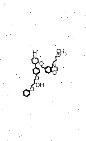 COCCCN1CCOc2ccc(CO[C@H]3CNCC[C@@H]3c3ccc(OC[C@H](O)COc4ccccc4)cc3)cc21